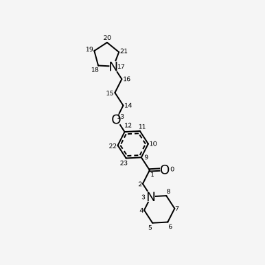 O=C(CN1CCCCC1)c1ccc(OCCCN2CCCC2)cc1